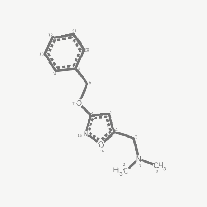 CN(C)Cc1cc(OCc2ccccc2)no1